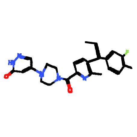 C/C=C(/c1ccc(C)c(F)c1)c1ccc(C(=O)N2CCN(c3cn[nH]c(=O)c3)CC2)nc1C